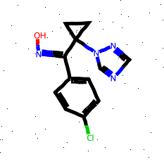 ON=C(c1ccc(Cl)cc1)C1(n2cncn2)CC1